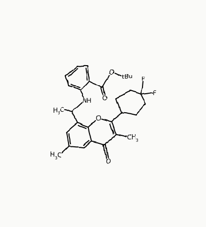 Cc1cc(C(C)Nc2ccccc2C(=O)OC(C)(C)C)c2oc(C3CCC(F)(F)CC3)c(C)c(=O)c2c1